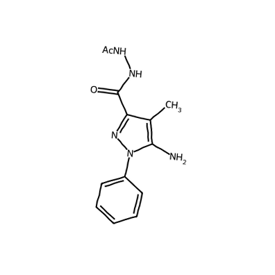 CC(=O)NNC(=O)c1nn(-c2ccccc2)c(N)c1C